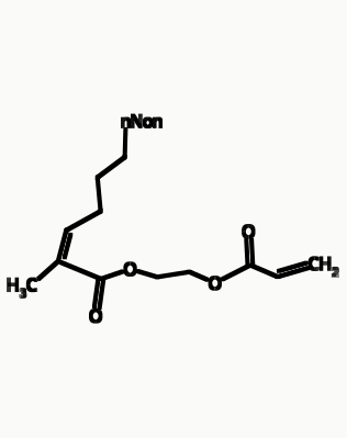 C=CC(=O)OCCOC(=O)C(C)=CCCCCCCCCCCCC